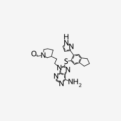 Nc1ncnc2c1nc(Sc1cc3c(cc1-c1cc[nH]n1)CCC3)n2CCC1CCCN(C=O)C1